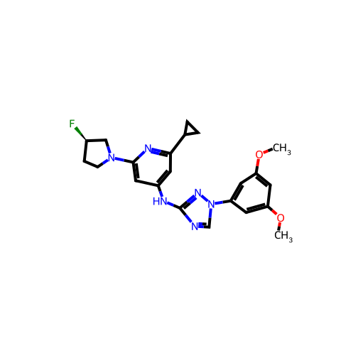 COc1cc(OC)cc(-n2cnc(Nc3cc(C4CC4)nc(N4CC[C@@H](F)C4)c3)n2)c1